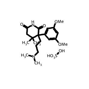 COc1cc(OC)cc(C2(CCCN(C)C)C(=O)NC(=O)CC2(C)C)c1.O=S(=O)(O)O